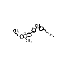 CCCC[C@H]1CC[C@H](C(C)c2ccc(C3=CC(=O)C(C(C)[C@H]4CC[C@H](CCCC)CC4)CC3)cc2)CC1